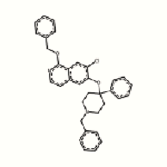 Clc1cc2c(OCc3ccccc3)nccc2cc1OC1(c2ccccc2)CCN(Cc2ccccc2)CC1